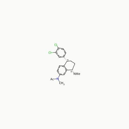 CN[C@H]1CC[C@@H](c2ccc(Cl)c(Cl)c2)c2ccc(N(C)C(C)=O)cc21